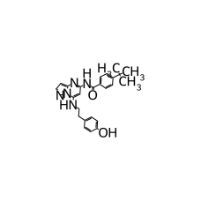 CC(C)(C)c1ccc(C(=O)Nc2cc(NCCc3ccc(O)cc3)n3nccc3n2)cc1